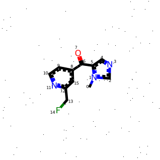 Cn1cncc1C(=O)c1ccnc(CF)c1